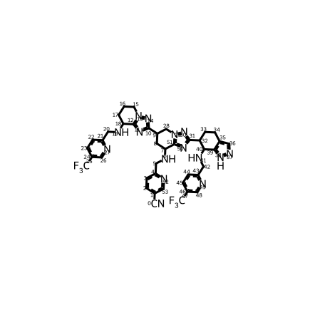 N#Cc1ccc(CNC2CC(c3nc4n(n3)CCCC4NCc3ccc(C(F)(F)F)cn3)Cn3nc(C4CCc5cn[nH]c5C4NCc4ccc(C(F)(F)F)cn4)nc32)nc1